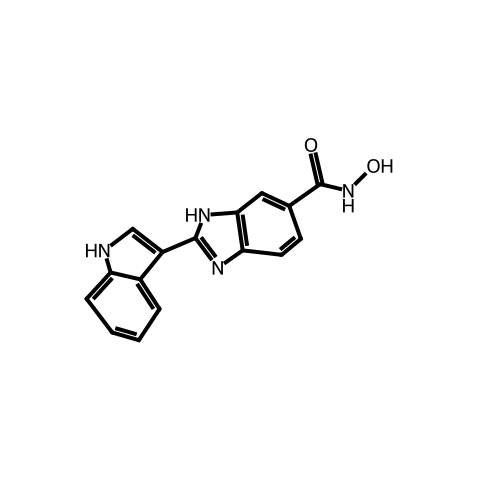 O=C(NO)c1ccc2nc(-c3c[nH]c4ccccc34)[nH]c2c1